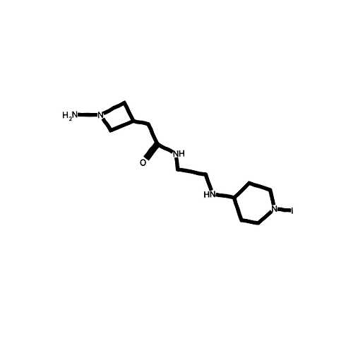 NN1CC(CC(=O)NCCNC2CCN(I)CC2)C1